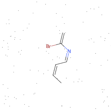 C=C(Br)/N=C\C=C/C